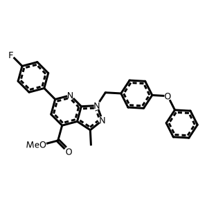 COC(=O)c1cc(-c2ccc(F)cc2)nc2c1c(C)nn2Cc1ccc(Oc2ccccc2)cc1